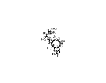 CC[C@H](C)[C@H](NC(=O)[C@H](NC)[C@@H](C)CC)C(=O)N[C@@H](CO)C(=O)N[C@H]1C(=O)N[C@@H](C)C(=O)N[C@@H](C[C@H]2CNC(=N)N2)C(=O)N[C@@H]([C@@H](C)CC)C(=O)O[C@H]1C